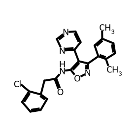 Cc1ccc(C)c(-c2noc(NC(=O)Cc3ccccc3Cl)c2-c2ccncn2)c1